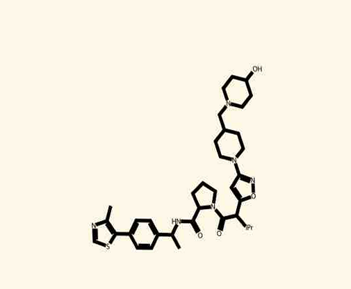 Cc1ncsc1-c1ccc(C(C)NC(=O)C2CCCN2C(=O)C(c2cc(N3CCC(CN4CCC(O)CC4)CC3)no2)C(C)C)cc1